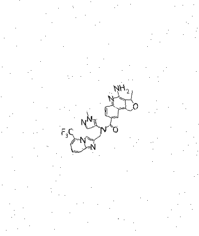 CC1OCc2c1c(N)nc1ccc(C(=O)N(Cc3cn4c(C(F)(F)F)cccc4n3)c3cnn(C)c3)cc21